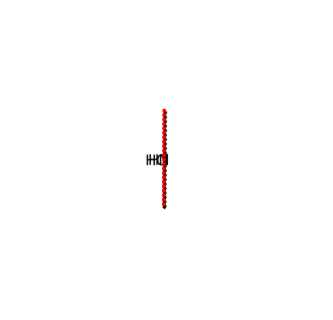 CCCCCCCCCCCCCCCCCCCCCCNCCCCCCCCCCCCCCCCCCCCCC.Cl